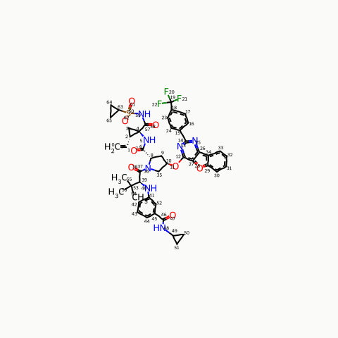 C=C[C@@H]1C[C@]1(NC(=O)[C@@H]1C[C@@H](Oc2nc(-c3ccc(C(F)(F)F)cc3)nc3c2oc2ccccc23)CN1C(=O)[C@@H](Nc1cccc(C(=O)NC2CC2)c1)C(C)(C)C)C(=O)NS(=O)(=O)C1CC1